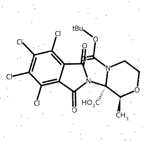 C[C@@H]1OCCN(C(=O)OC(C)(C)C)[C@]1(C(=O)O)N1C(=O)c2c(Cl)c(Cl)c(Cl)c(Cl)c2C1=O